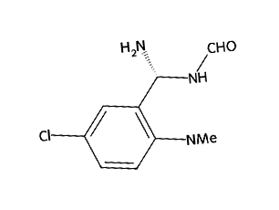 CNc1ccc(Cl)cc1[C@H](N)NC=O